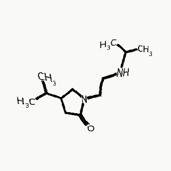 CC(C)NCCN1CC(C(C)C)CC1=O